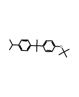 CC(C)c1ccc(C(C)(C)c2ccc(OC(C)(C)C)cc2)cc1